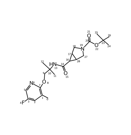 Cc1cc(F)cnc1OCC(C)(C)NC(=O)C1C2CN(C(=O)OC(C)(C)C)CC21